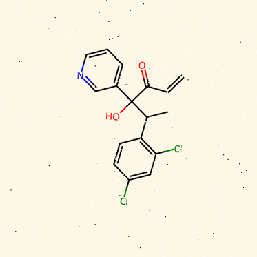 C=CC(=O)C(O)(c1cccnc1)C(C)c1ccc(Cl)cc1Cl